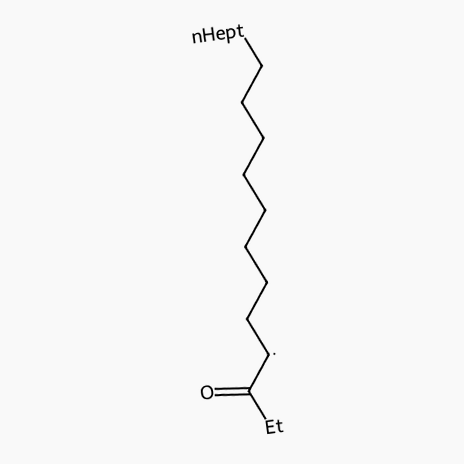 CCCCCCCCCCCCCCC[CH]C(=O)CC